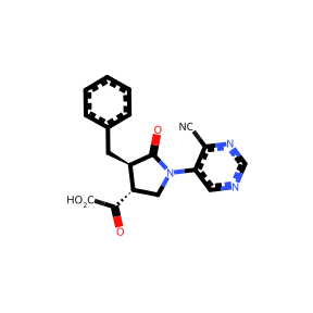 N#Cc1ncncc1N1C[C@H](C(=O)C(=O)O)[C@@H](Cc2ccccc2)C1=O